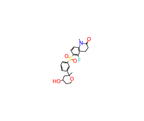 CN1C(=O)CCc2c1ccc(S(=O)(=O)c1cccc(C3(C)CC(O)CCO3)c1)c2F